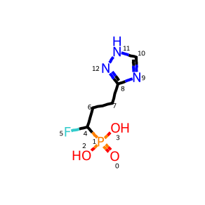 O=P(O)(O)C(F)CCc1nc[nH]n1